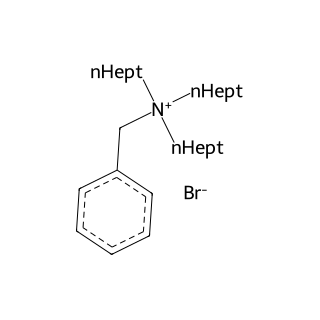 CCCCCCC[N+](CCCCCCC)(CCCCCCC)Cc1ccccc1.[Br-]